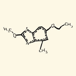 CCOc1cc(C)c2nc(OC)sc2c1